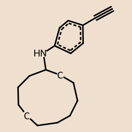 C#Cc1ccc(NC2CCCCCCCCCC2)cc1